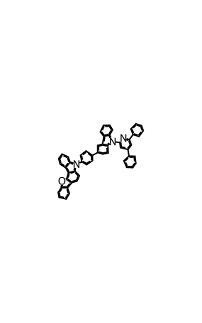 c1ccc(-c2cc(-c3ccccc3)nc(-n3c4ccccc4c4cc(-c5ccc(-n6c7ccccc7c7c8oc9ccccc9c8ccc76)cc5)ccc43)c2)cc1